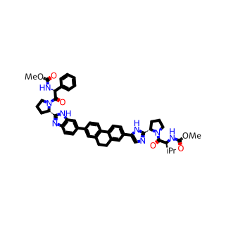 COC(=O)N[C@H](C(=O)N1CCC[C@H]1c1ncc(-c2ccc3c(c2)CCc2cc(-c4ccc5nc([C@@H]6CCCN6C(=O)[C@H](NC(=O)OC)c6ccccc6)[nH]c5c4)ccc2-3)[nH]1)C(C)C